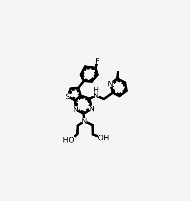 Cc1cccc(CNc2nc(N(CCO)CCO)nc3scc(-c4ccc(F)cc4)c23)n1